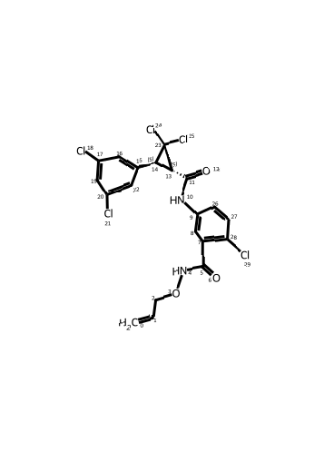 C=CCONC(=O)c1cc(NC(=O)[C@@H]2[C@@H](c3cc(Cl)cc(Cl)c3)C2(Cl)Cl)ccc1Cl